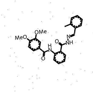 COc1ccc(C(=O)Nc2ccccc2C(=O)NN=Cc2ccccc2C)cc1OC